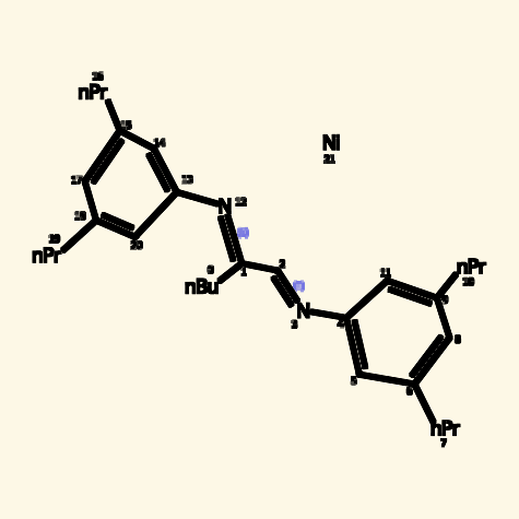 CCCCC(/C=N/c1cc(CCC)cc(CCC)c1)=N\c1cc(CCC)cc(CCC)c1.[Ni]